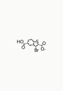 COC(=O)c1sc2ccc(C(=O)O)cc2c1Br